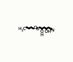 CCCCCOOCC(O)CC(O)CC#N